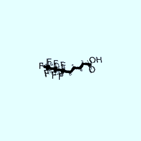 O=C(O)CCCCC(F)(F)C(F)(F)C(F)(F)F